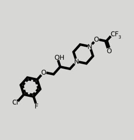 O=C(ON1CCN(CC(O)COc2ccc(Cl)c(F)c2)CC1)C(F)(F)F